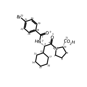 O=C(N[C@H](C(=O)N1CCC[C@H]1C(=O)O)C1CCCCC1)c1ccc(Br)cc1